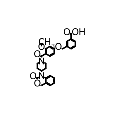 COc1cc(OCc2cccc(C(=O)O)c2)ccc1C(=O)N1CCC(N2C(=O)OCc3ccccc32)CC1